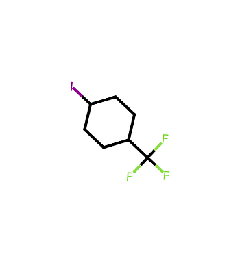 FC(F)(F)C1CCC(I)CC1